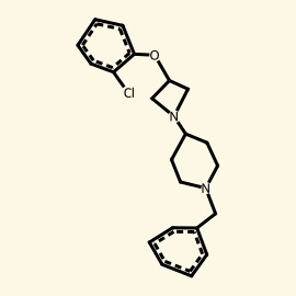 Clc1ccccc1OC1CN(C2CCN(Cc3ccccc3)CC2)C1